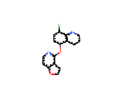 Clc1ccc(Oc2nccc3occc23)c2cccnc12